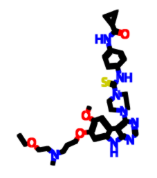 CCOCCN(C)CCCOc1cc2[nH]c3ncnc(N4CCN(C(=S)Nc5ccc(NC(=O)C6CC6)cc5)CC4)c3c2cc1OC